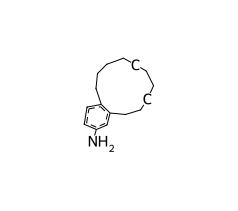 Nc1ccc2c(c1)CCCCCCCCCC2